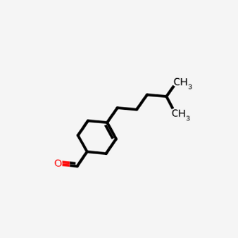 CC(C)CCCC1=CCC(C=O)CC1